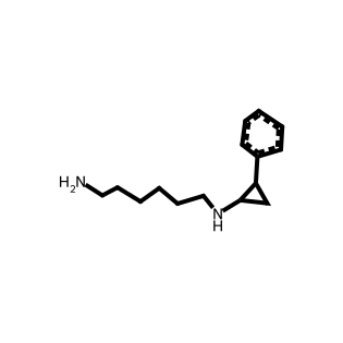 NCCCCCCNC1CC1c1ccccc1